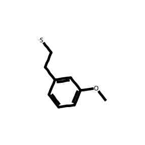 COc1cccc(CC[S])c1